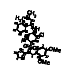 COc1ccc(CN(c2nccs2)S(=O)(=O)c2cc(Cl)c(NC(CN(C)C)c3ccccc3)cc2F)c(OC)c1